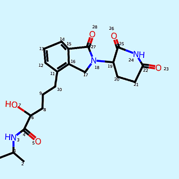 CC(C)NC(=O)C(O)CCCc1cccc2c1CN(C1CCC(=O)NC1=O)C2=O